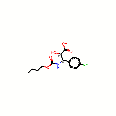 CCCCOC(=O)N[C@@H](c1ccc(Cl)cc1)[C@@H](O)C(=O)O